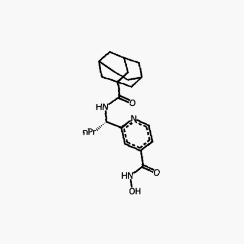 CCC[C@H](NC(=O)C12CC3CC(CC(C3)C1)C2)c1cc(C(=O)NO)ccn1